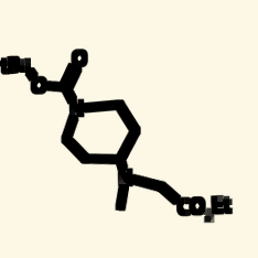 CCOC(=O)CN(C)C1CCN(C(=O)OC(C)(C)C)CC1